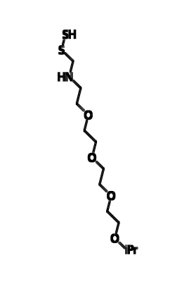 CC(C)OCCOCCOCCOCCNCSS